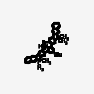 CC(C)(C)c1cc(-c2cc3c(cc2Br)-c2cc4ccccc4cc2C3(C)C)c(N)c(-c2cc3c(cc2Br)-c2cc4ccccc4cc2C3(C)C)c1